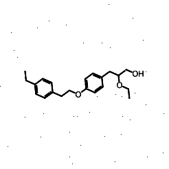 CCOC(CO)Cc1ccc(OCCc2ccc(CC)cc2)cc1